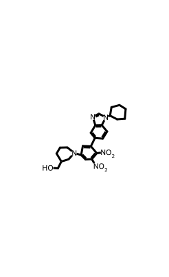 O=[N+]([O-])c1cc(N2CCCC(CO)C2)cc(-c2ccc3c(c2)ncn3C2CCCCC2)c1[N+](=O)[O-]